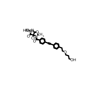 CNC(=O)C(C)(C(=O)NO)N(C)C(=O)c1ccc(C#Cc2ccc(CCOCCCO)cc2)cc1